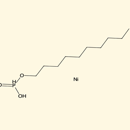 CCCCCCCCCCO[PH](=O)O.[Ni]